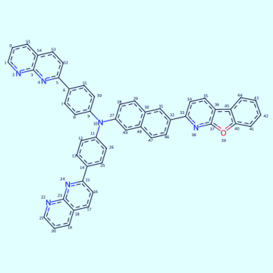 c1cnc2nc(-c3ccc(N(c4ccc(-c5ccc6cccnc6n5)cc4)c4ccc5cc(-c6ccc7c(n6)oc6ccccc67)ccc5c4)cc3)ccc2c1